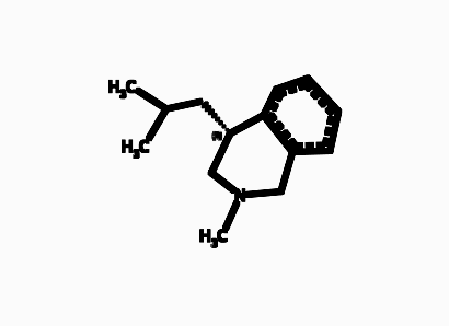 CC(C)C[C@H]1CN(C)Cc2ccccc21